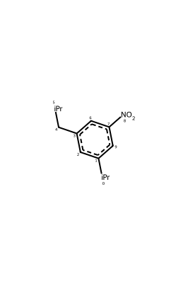 [CH2]C(C)c1cc(CC(C)C)cc([N+](=O)[O-])c1